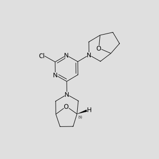 Clc1nc(N2CC3CCC(C2)O3)cc(N2CC3CC[C@@H](C2)O3)n1